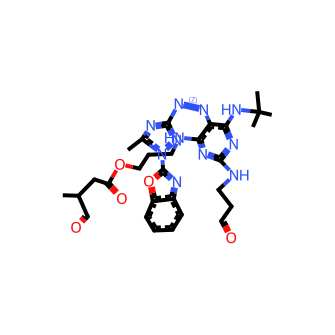 Cc1nc(/N=N\c2c(NCCCOC(=O)CC(C)C=O)nc(NCCC=O)nc2NC(C)(C)C)nn1-c1nc2ccccc2o1